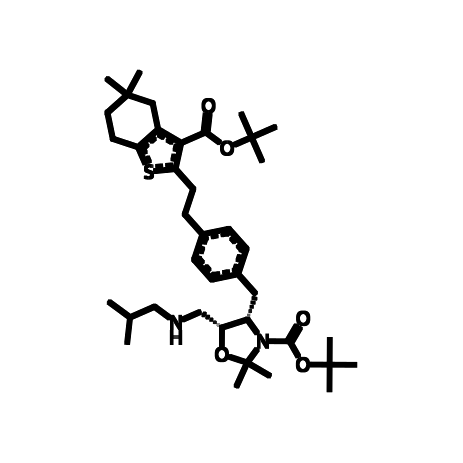 CC(C)CNC[C@H]1OC(C)(C)N(C(=O)OC(C)(C)C)[C@H]1Cc1ccc(CCc2sc3c(c2C(=O)OC(C)(C)C)CC(C)(C)CC3)cc1